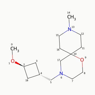 CO[C@H]1C[C@H](CN2CCOC3(CCN(C)CC3)C2)C1